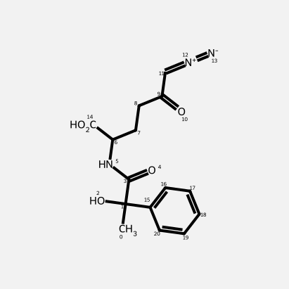 CC(O)(C(=O)NC(CCC(=O)C=[N+]=[N-])C(=O)O)c1ccccc1